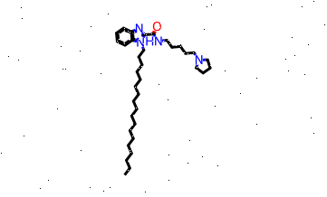 CCCCCCCCCCCCCCCCCCn1c(C(=O)NCCCCCN2CCCC2)nc2ccccc21